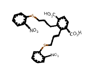 O=C(O)c1ccc(C(=O)O)c(CCCSc2ccccc2[N+](=O)[O-])c1CCCSc1ccccc1[N+](=O)[O-]